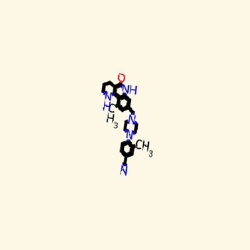 Cc1cc(C#N)ccc1N1CCN(Cc2cc(C)c3c4c(c(=O)[nH]c3c2)CCCN4)CC1